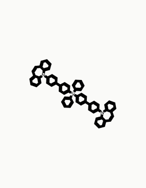 C1=Cc2ccccc2N(c2ccc(-c3ccc([Si](c4ccccc4)(c4ccccc4)c4ccc(-c5ccc(N6c7ccccc7C=Cc7ccccc76)cc5)cc4)cc3)cc2)c2ccccc21